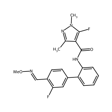 CON=Cc1ccc(-c2ccccc2NC(=O)c2c(C)nn(C)c2F)cc1F